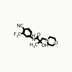 CC(O)(CN1CCOCC1)C(=O)Nc1ccc(C#N)c(C(F)(F)F)c1